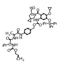 C=CCOC(=O)N[C@H](C(=O)N[C@@H](C)C(=O)Nc1ccc(COC(=O)Nc2cc(O[Si](C(C)C)(C(C)C)C(C)C)c(OC3CC3)cc2C(=O)N2CC3(CC3)C[C@H]2CO)cc1)C(C)C